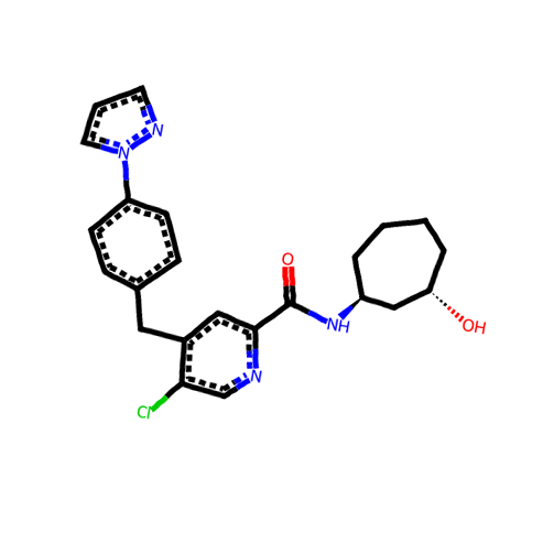 O=C(N[C@H]1CCCC[C@H](O)C1)c1cc(Cc2ccc(-n3cccn3)cc2)c(Cl)cn1